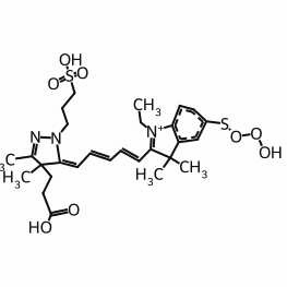 CC[N+]1=C(/C=C/C=C/C=C2\N(CCCS(=O)(=O)O)N=C(C)C2(C)CCC(=O)O)C(C)(C)c2cc(SOOO)ccc21